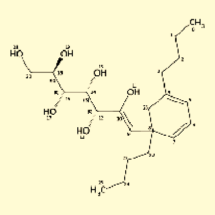 CCCCC1=CC=CC(C=C(O)[C@H](O)[C@@H](O)[C@H](O)[C@H](O)CO)(CCCC)C1